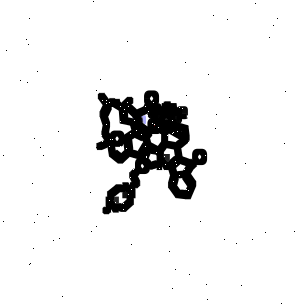 COC(=O)/C(C)=C\CC12OC(C)(C)C3CC(C1=O)C1C4=C(c5ccccc5C4=O)N4CCCC45c4c(OCCN6CCN(C)CC6)c6c(c(CC=C(C)C)c4OC32C15)OC(C)(CCC=C(C)C)C=C6